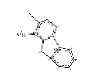 CC(=O)Oc1c(N)ccc2c1Cc1ccccc1-2